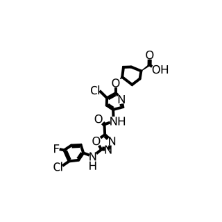 O=C(Nc1cnc(O[C@H]2CC[C@H](C(=O)O)CC2)c(Cl)c1)c1nnc(Nc2ccc(F)c(Cl)c2)o1